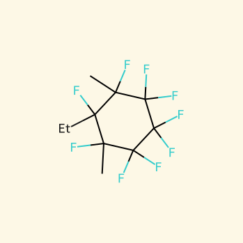 CCC1(F)C(C)(F)C(F)(F)C(F)(F)C(F)(F)C1(C)F